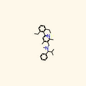 CCc1cccc(CC)c1-c1cc(C)c(CN(C)C(c2ccccc2)C(C)C)c(C)n1